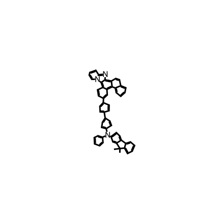 CC1(C)c2ccccc2-c2ccc(N(c3ccccc3)c3ccc(-c4ccc(-c5ccc6c(c5)c5c7ccccc7ccc5c5nc7ccccn7c65)cc4)cc3)cc21